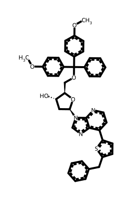 COc1ccc(C(OC[C@H]2O[C@@H](n3cnc4c(-c5ccc(Cc6ccccc6)s5)ccnc43)C[C@@H]2O)(c2ccccc2)c2ccc(OC)cc2)cc1